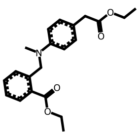 CCOC(=O)Cc1ccc(N(C)Cc2ccccc2C(=O)OCC)cc1